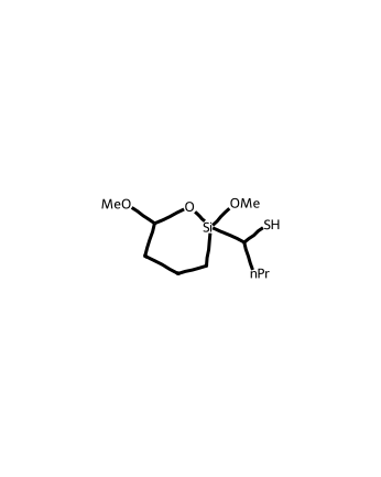 CCCC(S)[Si]1(OC)CCCC(OC)O1